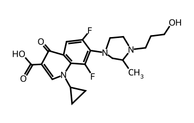 CC1CN(c2c(F)cc3c(=O)c(C(=O)O)cn(C4CC4)c3c2F)CCN1CCCO